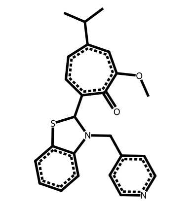 COc1cc(C(C)C)ccc(C2Sc3ccccc3N2Cc2ccncc2)c1=O